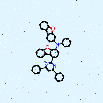 c1ccc(-c2cc(-c3ccccc3)nc(-c3ccc(N(c4ccccc4)c4ccc5c(c4)oc4ccccc45)c4oc5ccccc5c34)n2)cc1